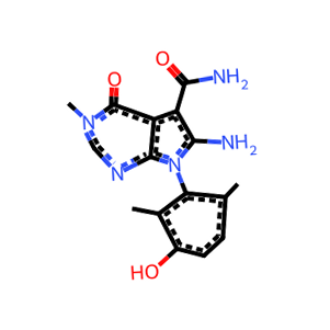 Cc1ccc(O)c(C)c1-n1c(N)c(C(N)=O)c2c(=O)n(C)cnc21